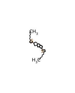 CCCCCCc1ccc(C2=CCc3cc4ccc(-c5ccc(CCCCCC)s5)cc4cc3C=C2)s1